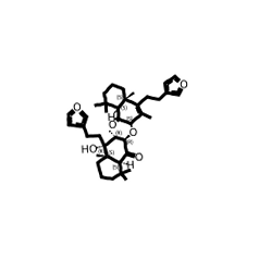 CC1=C(CCc2ccoc2)[C@@]2(C)CCCC(C)(C)[C@@H]2C(=O)[C@H]1O[C@H]1C(=O)[C@H]2C(C)(C)CCC[C@]2(C)[C@@](O)(CCc2ccoc2)[C@@H]1C